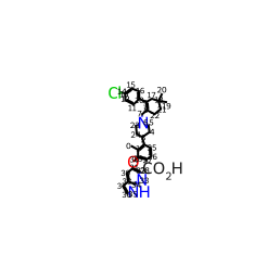 Cc1c(C2CCN(CC3=C(c4ccc(Cl)cc4)CC(C)(C)CC3)CC2)ccc(C(=O)O)c1Oc1cnc2[nH]ccc2c1